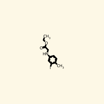 CCOC(=O)CNc1ccc(C)c(I)c1